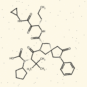 CCC[C@H](NC(=O)[C@@H]1C[C@@]2(CC(=O)N(c3ccccc3)C2)CN1C(=O)[C@@H](N(C(=O)O)C1CCCC1)C(C)(C)C)C(=O)C(=O)NC1CC1